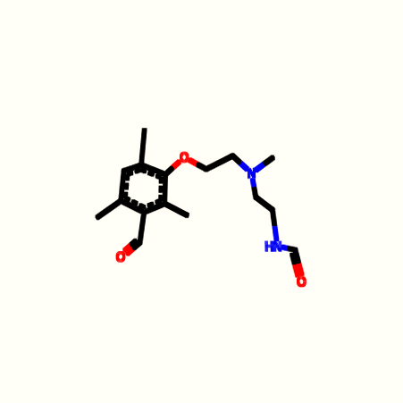 Cc1cc(C)c(OCCN(C)CCNC=O)c(C)c1C=O